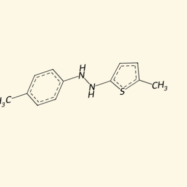 Cc1ccc(NNc2ccc(C)s2)cc1